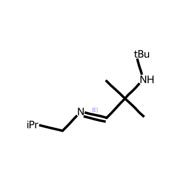 CC(C)C/N=C/C(C)(C)NC(C)(C)C